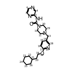 O=C(Nc1cnccn1)N1CCN(Cc2ccc(OCCC3CCCCC3)nc2)CC1